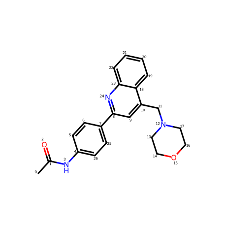 CC(=O)Nc1ccc(-c2cc(CN3CCOCC3)c3ccccc3n2)cc1